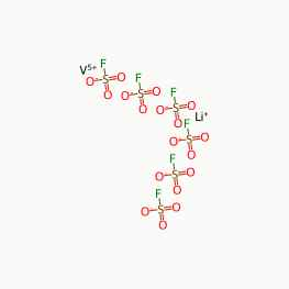 O=S(=O)([O-])F.O=S(=O)([O-])F.O=S(=O)([O-])F.O=S(=O)([O-])F.O=S(=O)([O-])F.O=S(=O)([O-])F.[Li+].[V+5]